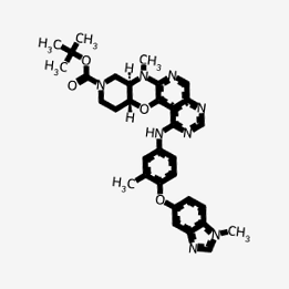 Cc1cc(Nc2ncnc3cnc4c(c23)O[C@@H]2CCN(C(=O)OC(C)(C)C)C[C@H]2N4C)ccc1Oc1ccc2c(c1)ncn2C